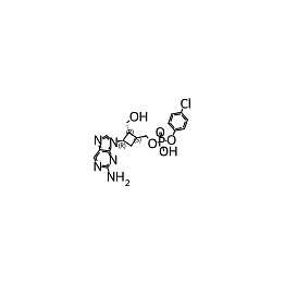 Nc1ncc2ncn([C@@H]3C[C@H](COP(=O)(O)Oc4ccc(Cl)cc4)[C@H]3CO)c2n1